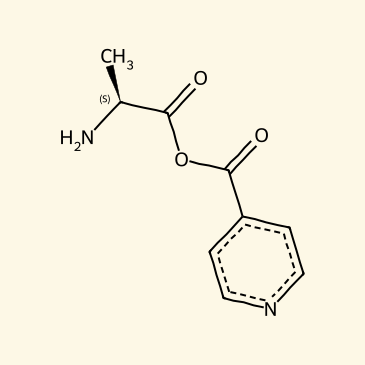 C[C@H](N)C(=O)OC(=O)c1ccncc1